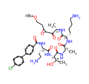 CCCCOCCC1OC1C(=O)[C@H](C)NC(=O)[C@H](CCCCN)NC(=O)[C@H](C)NC(=O)[C@@H](NC(=O)[C@H](CCN)NC(=O)c1ccc(-c2ccc(Cl)cc2)cc1)[C@@H](C)O